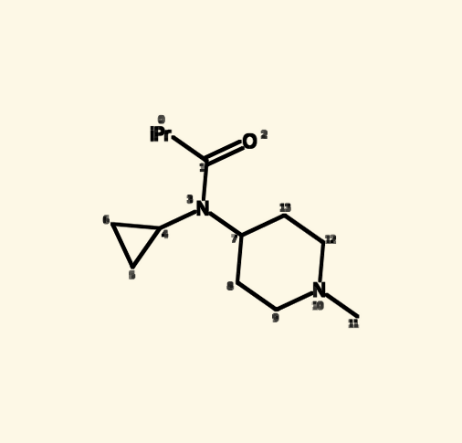 CC(C)C(=O)N(C1CC1)C1CCN(C)CC1